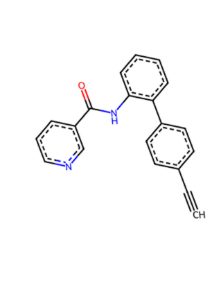 C#Cc1ccc(-c2ccccc2NC(=O)c2cccnc2)cc1